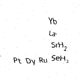 [Dy].[La].[Pt].[Ru].[SeH2].[SrH2].[Yb]